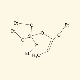 CC=C(OCC)O[Si](OCC)(OCC)OCC